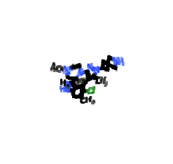 CC[C@@]1(C)CN(C(C)=O)CCN1c1nn(C2CC3(CNC3)C2)c(C)c1-c1c(Cl)c(C)cc2[nH]ncc12